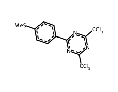 CSc1ccc(-c2nc(C(Cl)(Cl)Cl)nc(C(Cl)(Cl)Cl)n2)cc1